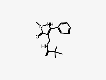 C=C(NCc1c(-c2ccccc2)[nH]n(C)c1=O)C(C)(C)C